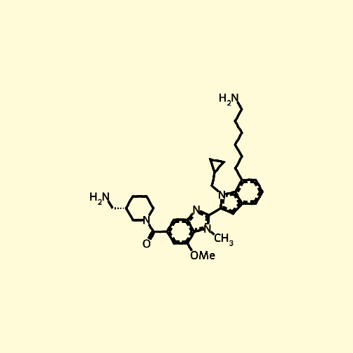 COc1cc(C(=O)N2CCC[C@@H](CN)C2)cc2nc(-c3cc4cccc(CCCCCCN)c4n3CC3CC3)n(C)c12